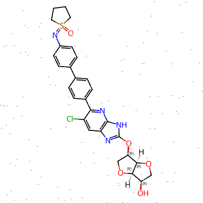 O=S1(=Nc2ccc(-c3ccc(-c4nc5[nH]c(O[C@@H]6CO[C@H]7[C@@H]6OC[C@H]7O)nc5cc4Cl)cc3)cc2)CCCC1